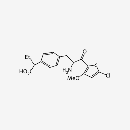 CCC(C(=O)O)c1ccc(CC(N)C(=O)c2sc(Cl)cc2OC)cc1